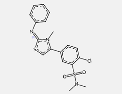 CN(C)S(=O)(=O)c1cc(-c2cs/c(=N/c3ccccc3)n2C)ccc1Cl